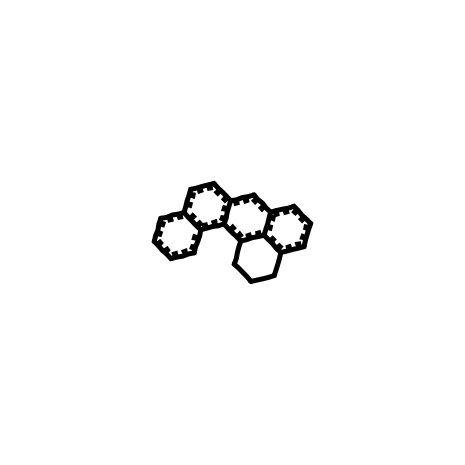 c1cc2c3c(c4c(ccc5ccccc54)cc3c1)CCC2